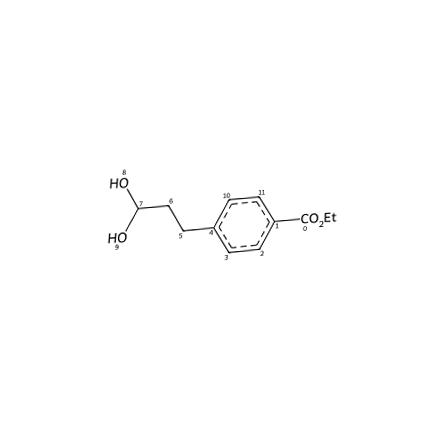 CCOC(=O)c1ccc(CCC(O)O)cc1